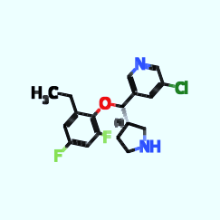 CCc1cc(F)cc(F)c1OC(c1cncc(Cl)c1)[C@H]1CCNC1